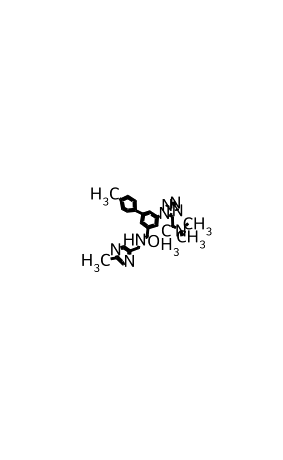 Cc1ccc(-c2cc(C(=O)NCc3cnc(C)cn3)cc(-n3nnnc3C(C)N(C)C)c2)cc1